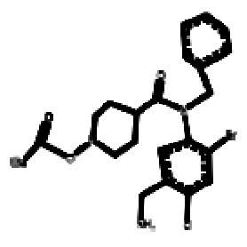 CC(C)(C)C(=O)ON1CCC(C(=O)N(Cc2ccccc2)c2cc(CN)c(Cl)cc2Br)CC1